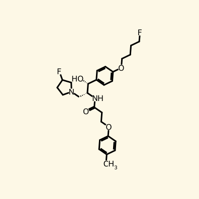 Cc1ccc(OCCC(=O)N[C@H](CN2CCC(F)C2)[C@H](O)c2ccc(OCCCCF)cc2)cc1